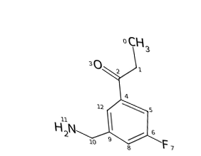 CCC(=O)c1cc(F)cc(CN)c1